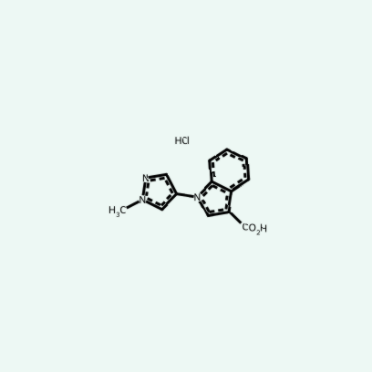 Cl.Cn1cc(-n2cc(C(=O)O)c3ccccc32)cn1